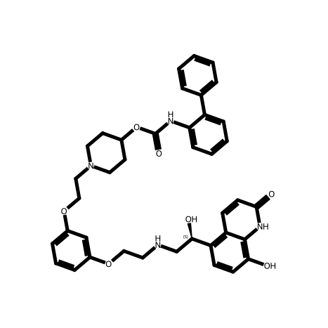 O=C(Nc1ccccc1-c1ccccc1)OC1CCN(CCOc2cccc(OCCNC[C@@H](O)c3ccc(O)c4[nH]c(=O)ccc34)c2)CC1